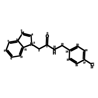 O=C(Cn1cnc2ccccc21)NCc1ccc(Cl)cc1